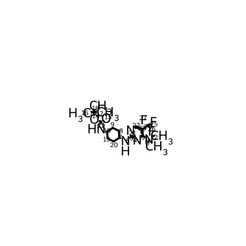 CN(C)c1nc(N[C@H]2CC[C@@H](NC(=O)OC(C)(C)C)CC2)ncc1C(F)(F)F